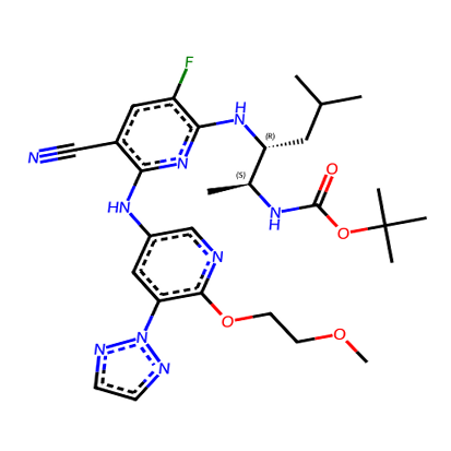 COCCOc1ncc(Nc2nc(N[C@H](CC(C)C)[C@H](C)NC(=O)OC(C)(C)C)c(F)cc2C#N)cc1-n1nccn1